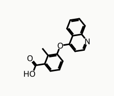 Cc1c(Oc2ccnc3ccccc23)cccc1C(=O)O